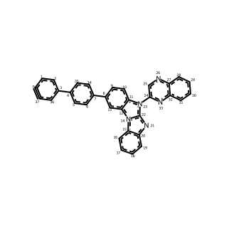 c1ccc(-c2ccc(-c3ccc4c(c3)n3c5ccccc5nc3n4-c3cnc4ccccc4n3)cc2)cc#1